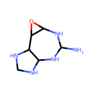 NC1NC2NCNC2C2OC2N1